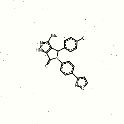 CC(C)(C)c1n[nH]c2c1C(c1ccc(Cl)cc1)N(c1ccc(-c3ccon3)cc1)C2=O